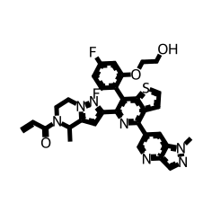 C=CC(=O)N1CCn2nc(-c3nc(-c4cnc5cnn(C)c5c4)c4ccsc4c3-c3c(F)cc(F)cc3OCCO)cc2C1C